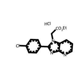 CCOC(=O)Cn1c(-c2ccc(Cl)cc2)nc2ncccc21.Cl